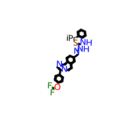 CC(C)c1ccccc1NC(=S)N/N=C/c1ccc2c(ccn3c(-c4ccc(OC(F)F)cc4)cnc23)c1